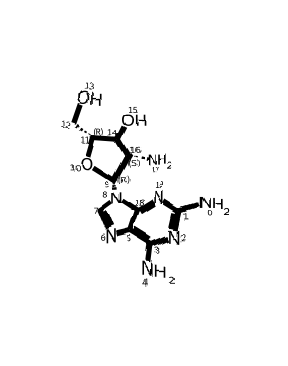 Nc1nc(N)c2ncn([C@@H]3O[C@H](CO)C(O)[C@@H]3N)c2n1